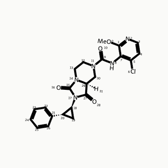 COc1nccc(Cl)c1NC(=O)N1CCN2C(=O)N([C@H]3C[C@@H]3c3ccccc3)C(=O)[C@@H]2C1